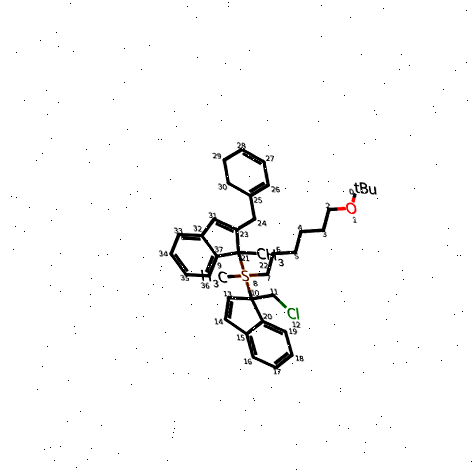 CC(C)(C)OCCCCCCS(C)(C1(CCl)C=Cc2ccccc21)C1(C)C(CC2=CC=CCC2)=Cc2ccccc21